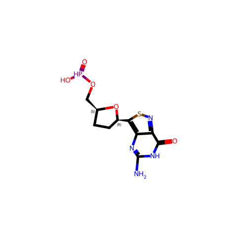 Nc1nc2c([C@H]3CC[C@@H](CO[PH](=O)O)O3)snc2c(=O)[nH]1